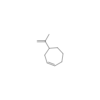 C=C(C)C1CC=CCCC1